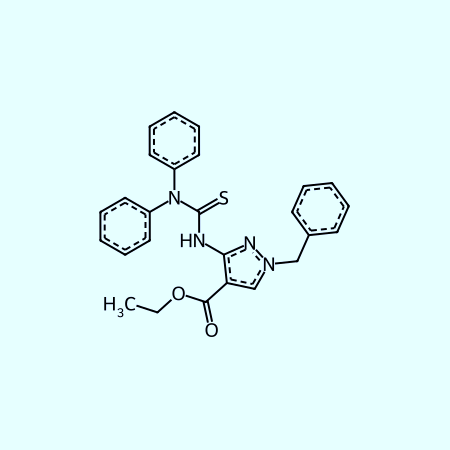 CCOC(=O)c1cn(Cc2ccccc2)nc1NC(=S)N(c1ccccc1)c1ccccc1